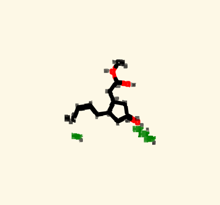 Br.Br.Br.Br.C/C=C\CC1CC(=O)CC1CC(=O)OC